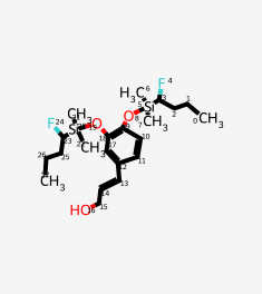 CCCC(F)[Si](C)(C)Oc1ccc(C=CCO)cc1O[Si](C)(C)C(F)CCC